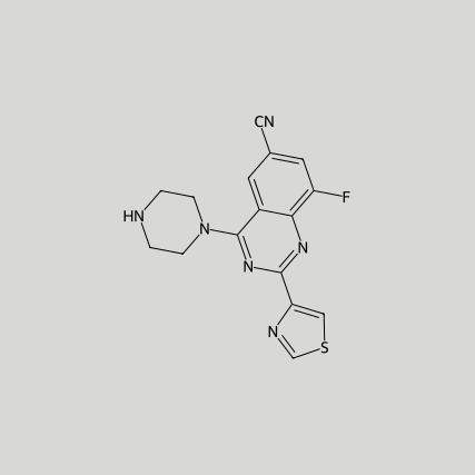 N#Cc1cc(F)c2nc(-c3cscn3)nc(N3CCNCC3)c2c1